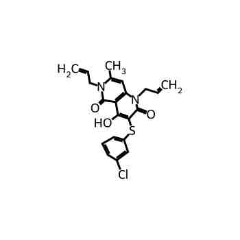 C=CCn1c(C)cc2c(c(O)c(Sc3cccc(Cl)c3)c(=O)n2CC=C)c1=O